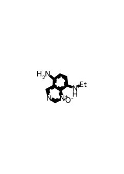 CCNc1ccc(N)c2cnc[n+]([O-])c12